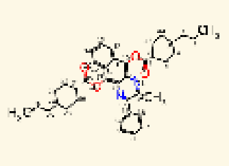 CCC[C@H]1CC[C@H](C(=O)Oc2c3ccccc3c(OC(=O)[C@H]3CC[C@H](CCC)CC3)c3nc(-c4ccccc4)c(C)nc23)CC1